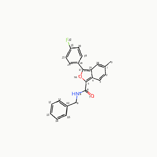 Cc1ccc2c(C(=O)NCc3ccccc3)oc(-c3ccc(F)cc3)c2c1